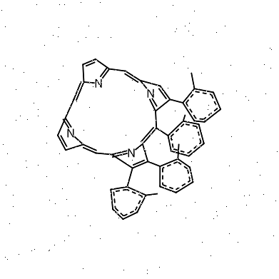 Cc1ccccc1C1=CC2=CC3=NC(=CC4=NC(=CC5=NC(=C(c6ccccc6C)C1=N2)C(c1ccccc1C)=C5c1ccccc1C)C=C4)C=C3